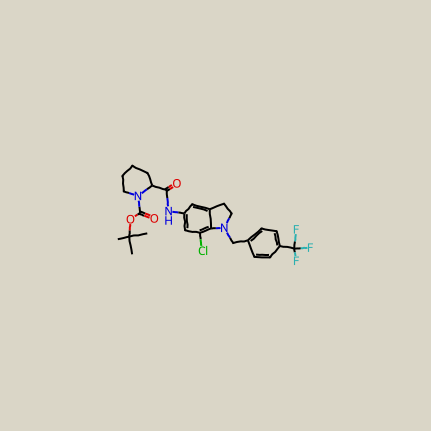 CC(C)(C)OC(=O)N1CCCCC1C(=O)Nc1cc(Cl)c2c(c1)CCN2Cc1ccc(C(F)(F)F)cc1